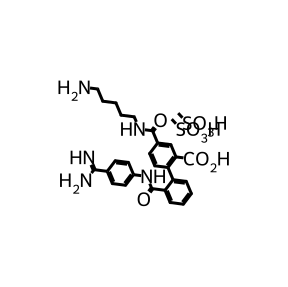 CS(=O)(=O)O.CS(=O)(=O)O.N=C(N)c1ccc(NC(=O)c2ccccc2-c2ccc(C(=O)NCCCCCN)cc2C(=O)O)cc1